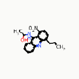 C=CCc1ccc([N+](=O)[O-])c2c(NC(C)O)c3ccccc3nc12